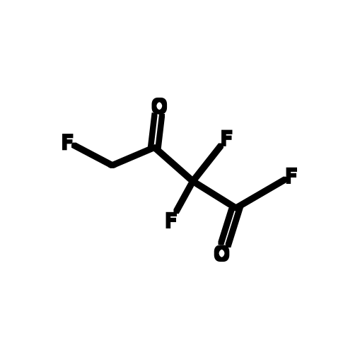 O=C(F)C(F)(F)C(=O)CF